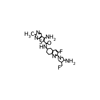 Cc1ncc2c(N)c(C(=O)NC3CCc4nc(N5CC(N)C(CF)C5)c(F)cc4C3)sc2n1